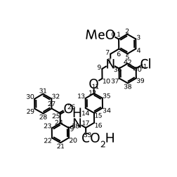 COc1ccccc1CN(CCOc1ccc(CC(Nc2ccccc2C(=O)c2ccccc2)C(=O)O)cc1)c1cccc(Cl)c1